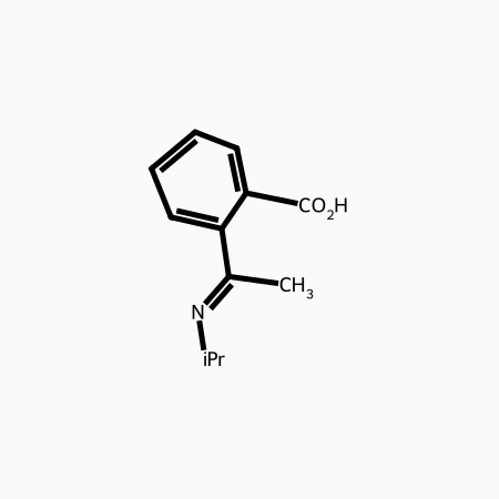 C/C(=N\C(C)C)c1ccccc1C(=O)O